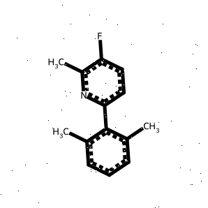 Cc1cccc(C)c1-c1ccc(F)c(C)n1